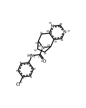 O=C(Nc1ccc(Cl)cc1)N1C2CCC1c1cncnc1C2